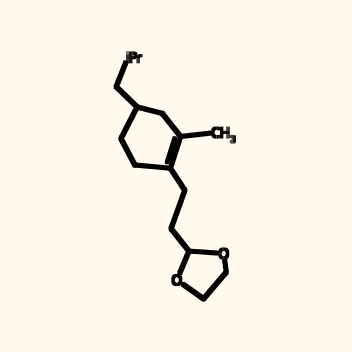 CC1=C(CCC2OCCO2)CCC(CC(C)C)C1